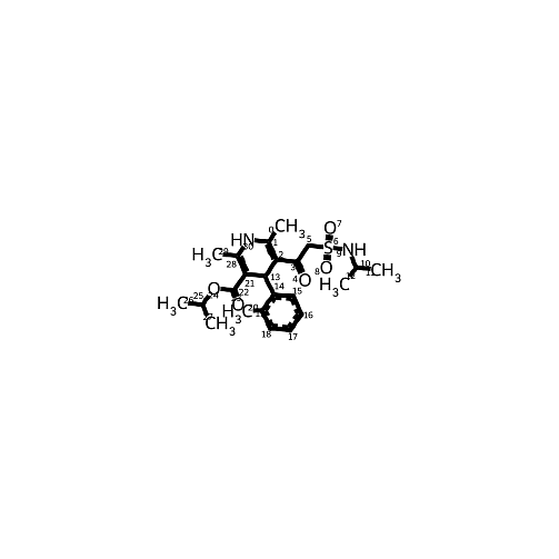 CC1=C(C(=O)CS(=O)(=O)NC(C)C)C(c2ccccc2C)C(C(=O)OC(C)C)=C(C)N1